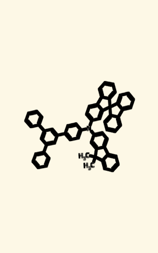 CC1(C)c2ccccc2-c2ccc(N(c3ccc(-c4cc(-c5ccccc5)cc(-c5ccccc5)c4)cc3)c3ccc4c(c3)C3(c5ccccc5-c5ccccc53)c3ccccc3-4)cc21